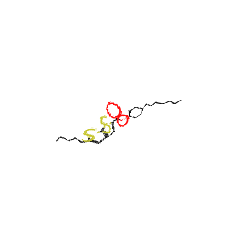 CCCCCCC[C@H]1CC[C@H](OC(=O)c2cc3cc(CCCCC)sc3s2)CC1